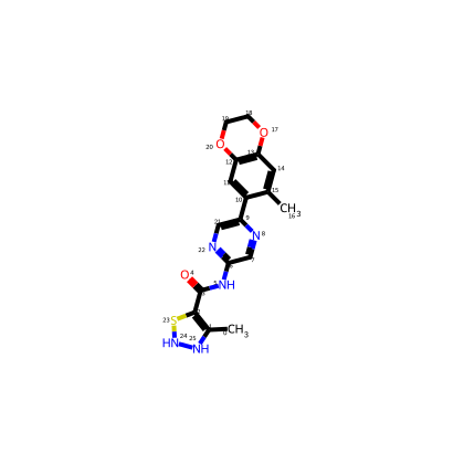 CC1=C(C(=O)Nc2cnc(-c3cc4c(cc3C)OCCO4)cn2)SNN1